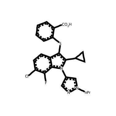 CCCn1cc(-n2c(C3CC3)c(Sc3ccccc3C(=O)O)c3ccc(Cl)c(F)c32)cn1